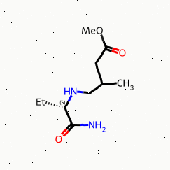 CC[C@H](NCC(C)CC(=O)OC)C(N)=O